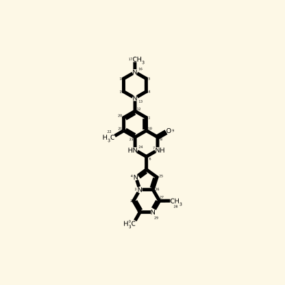 Cc1cn2nc(C3NC(=O)c4cc(N5CCN(C)CC5)cc(C)c4N3)cc2c(C)n1